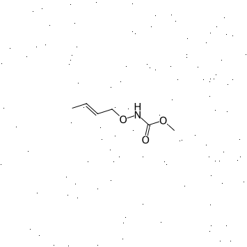 CC=CCONC(=O)OC